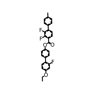 CCOc1ccc(-c2ccc(OC(=O)c3ccc(-c4ccc(C)cc4)c(F)c3F)cc2)c(F)c1